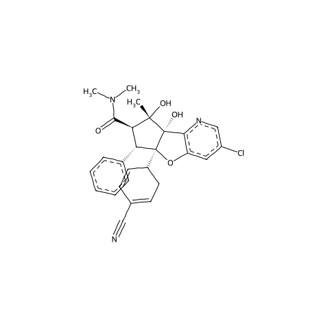 CN(C)C(=O)[C@@H]1[C@@H](c2ccccc2)[C@]2(C3C=CC(C#N)=CC3)Oc3cc(Cl)cnc3[C@]2(O)[C@@]1(C)O